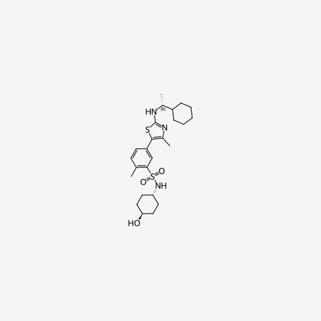 Cc1ccc(-c2sc(N[C@H](C)C3CCCCC3)nc2C)cc1S(=O)(=O)N[C@H]1CC[C@H](O)CC1